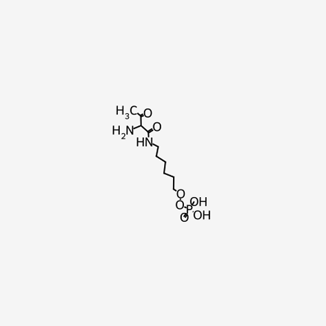 CC(=O)C(N)C(=O)NCCCCCCOOP(=O)(O)O